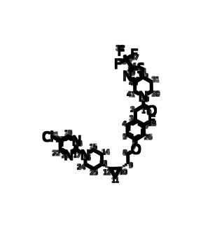 O=C(Cc1ccc(OCC[C@@H]2C[C@@H]2C2CCN(c3ncc(Cl)cn3)CC2)cc1F)N1CCc2sc(C(F)(F)F)nc2C1